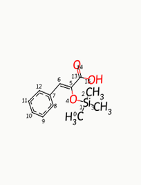 C[Si](C)(C)OC(=Cc1ccccc1)C(=O)O